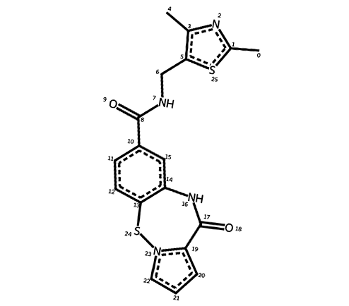 Cc1nc(C)c(CNC(=O)c2ccc3c(c2)NC(=O)c2cccn2S3)s1